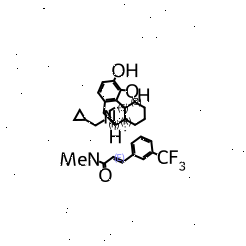 CNC(=O)/C=C/c1cccc(C(F)(F)F)c1.C[C@@]12CCC[C@@H]3Oc4c(O)ccc5c4[C@@]31CCN(CC1CC1)[C@@H]2C5